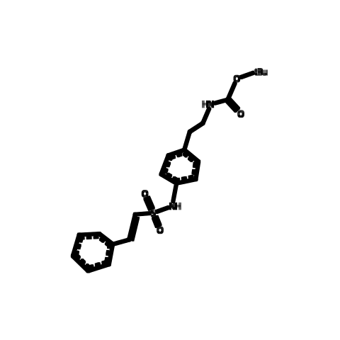 CC(C)(C)OC(=O)NCCc1ccc(NS(=O)(=O)/C=C/c2ccccc2)cc1